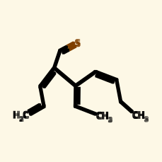 C=C/C=C(/C=S)C(=CC)/C=C\CC